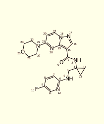 O=C(NC1(CNc2ccc(F)cn2)CC1)c1cnn2ccc(N3CCOCC3)nc12